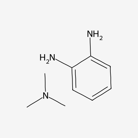 CN(C)C.Nc1ccccc1N